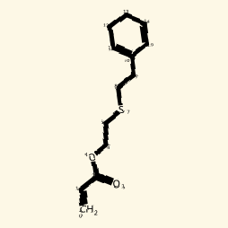 C=CC(=O)OCCSCCC1=CCCC=C1